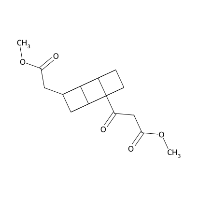 COC(=O)CC(=O)C12C3C4C1C1C2C3C41CC(=O)OC